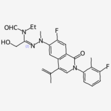 C=C(C)c1cn(-c2cccc(F)c2C)c(=O)c2cc(F)c(N(C)/N=C(/CO)N(C=O)CC)cc12